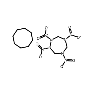 C1CCCCCCC1.O=[N+]([O-])N1CN([N+](=O)[O-])CN([N+](=O)[O-])N([N+](=O)[O-])C1